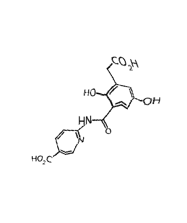 O=C(O)Cc1cc(O)cc(C(=O)Nc2ccc(C(=O)O)cn2)c1O